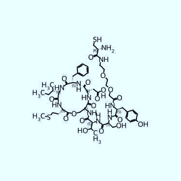 CCC(C)[C@@H]1NC(=O)[C@H](Cc2ccccc2)NC(=O)[C@H](CC(=O)O)NC(=O)[C@@H](NC(=O)[C@@H](NC(=O)[C@H](CO)NC(=O)[C@H](Cc2ccc(O)cc2)NC(=O)COCCOCCNC(=O)[C@@H](N)CS)C(C)O)COC(=O)[C@H](CCSC)NC1=O